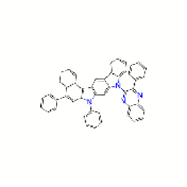 C1=CC2c3c(n(-c4ccccc4)c4cc5c(cc34)c3ccccc3n5-c3nc4ccccc4nc3-c3ccccc3)C=C(c3ccccc3)C2CC1